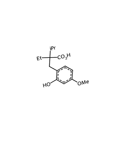 CCC(Cc1ccc(OC)cc1O)(C(=O)O)C(C)C